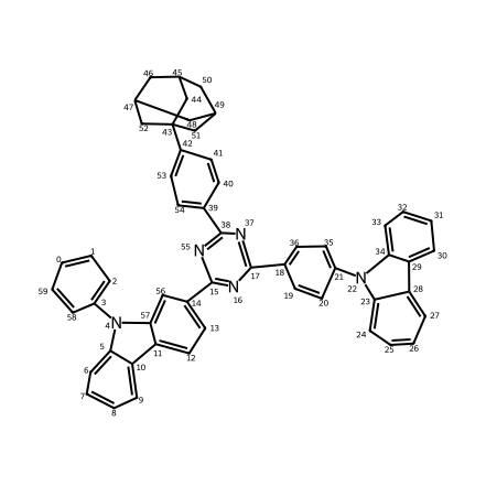 c1ccc(-n2c3ccccc3c3ccc(-c4nc(-c5ccc(-n6c7ccccc7c7ccccc76)cc5)nc(-c5ccc(C67CC8CC(CC(C8)C6)C7)cc5)n4)cc32)cc1